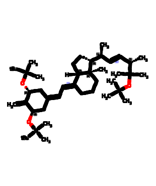 C=C1[C@H](O[Si](C)(C)C(C)(C)C)CC(=C/C=C2\CCC[C@]3(C)[C@@H]([C@@H](C)/C=C/[C@H](C)C(C)(C)O[Si](C)(C)C)CC[C@@H]23)C[C@H]1O[Si](C)(C)C(C)(C)C